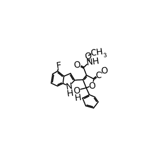 CONC(=O)C1=C(c2cc3c(F)cccc3[nH]2)C(O)(c2ccccc2)OC1=C=O